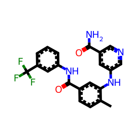 Cc1ccc(C(=O)Nc2cccc(C(F)(F)F)c2)cc1Nc1cncc(C(N)=O)c1